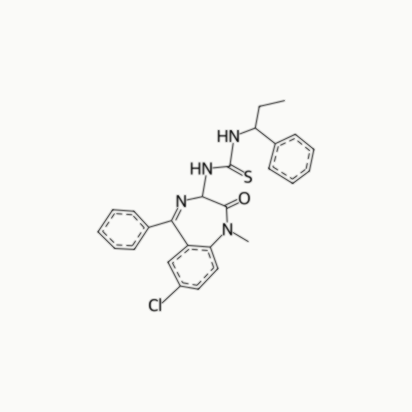 CCC(NC(=S)NC1N=C(c2ccccc2)c2cc(Cl)ccc2N(C)C1=O)c1ccccc1